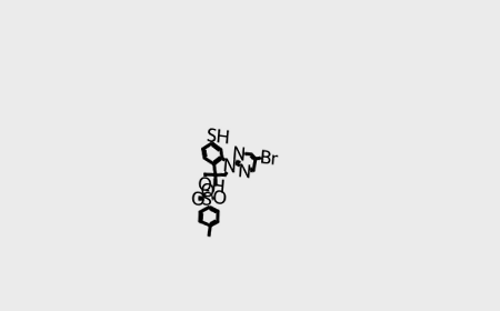 Cc1ccc(S(=O)(=O)OCC2(CO)CN(c3ncc(Br)cn3)c3cc(S)ccc32)cc1